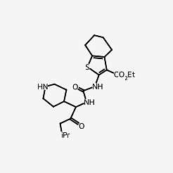 CCOC(=O)c1c(NC(=O)NC(C(=O)CC(C)C)C2CCNCC2)sc2c1CCCC2